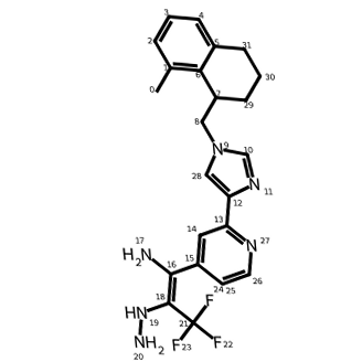 Cc1cccc2c1C(Cn1cnc(-c3cc(/C(N)=C(/NN)C(F)(F)F)ccn3)c1)CCC2